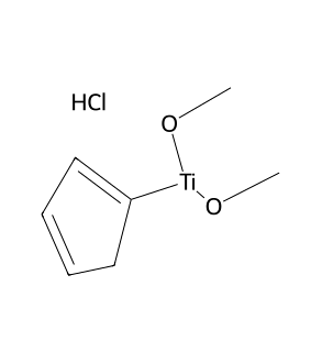 C[O][Ti]([O]C)[C]1=CC=CC1.Cl